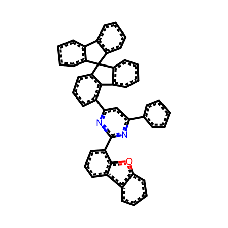 c1ccc(-c2cc(-c3cccc4c3-c3ccccc3C43c4ccccc4-c4ccccc43)nc(-c3cccc4c3oc3ccccc34)n2)cc1